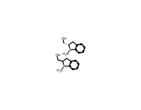 NN1c2ccccc2CC1CO.NN1c2ccccc2C[C@H]1CO